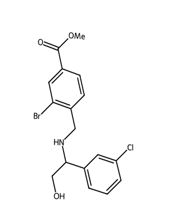 COC(=O)c1ccc(CNC(CO)c2cccc(Cl)c2)c(Br)c1